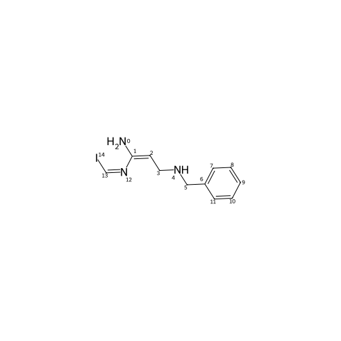 NC(=C/CNCc1ccccc1)/N=C\I